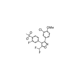 COc1ccc(-c2noc(C(F)F)c2-c2ccc(S(C)(=O)=O)c(F)c2)cc1Cl